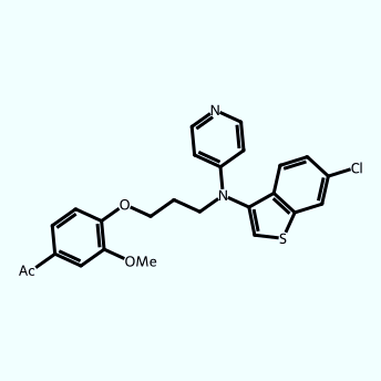 COc1cc(C(C)=O)ccc1OCCCN(c1ccncc1)c1csc2cc(Cl)ccc12